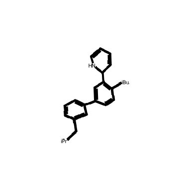 CCC(C)c1ccc(-c2cccc(CC(C)C)c2)cc1C1C=CC=CN1